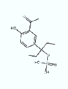 CCC(CC)(OP(=O)(O)O)c1ccc(O)c(C(C)=O)c1